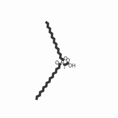 CCCCCCCCCCCCCCCC(=O)N(C(=O)CCCCCCCCCCCCCCC)[C@@H](C)C(=O)O